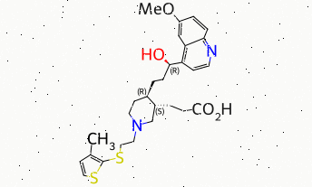 COc1ccc2nccc([C@H](O)CC[C@@H]3CCN(CCSc4sccc4C)C[C@H]3CCC(=O)O)c2c1